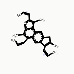 C/C=C\C1=C(C)Cc2cc3c(cc21)c(/C=C\C)c(C)c1sc(/C=C\C)c(C)c13